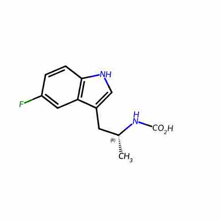 C[C@H](Cc1c[nH]c2ccc(F)cc12)NC(=O)O